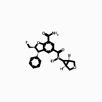 CCN(C(=O)c1cc(C(N)=O)c2c(c1)[C@H](c1ccccc1)[C@@H](CF)O2)C1[C@H]2COC[C@@H]12